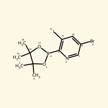 CC1(C)OB(c2ncc(Br)cc2I)OC1(C)C